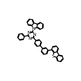 c1ccc(-c2nc(-c3ccc(-c4cccc(-c5cccc6c5sc5ccccc56)c4)cc3)nc(-n3c4ccccc4c4ccccc43)n2)cc1